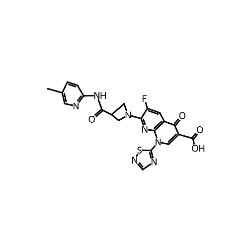 Cc1ccc(NC(=O)C2CN(c3nc4c(cc3F)c(=O)c(C(=O)O)cn4-c3ncns3)C2)nc1